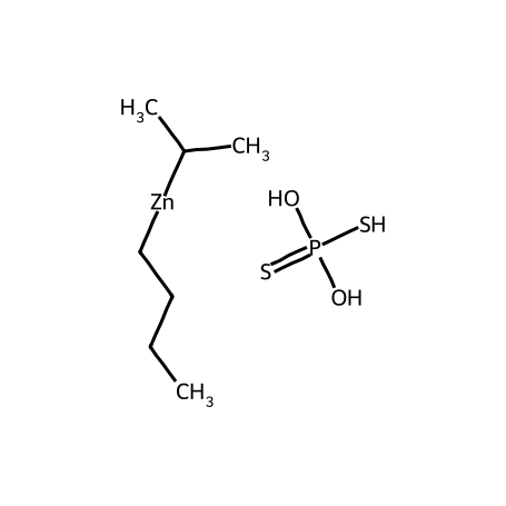 CCC[CH2][Zn][CH](C)C.OP(O)(=S)S